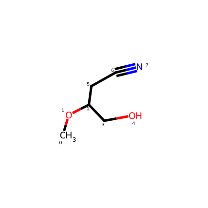 COC(CO)CC#N